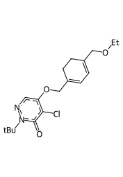 CCOCC1=CC=C(COc2cnn(C(C)(C)C)c(=O)c2Cl)CC1